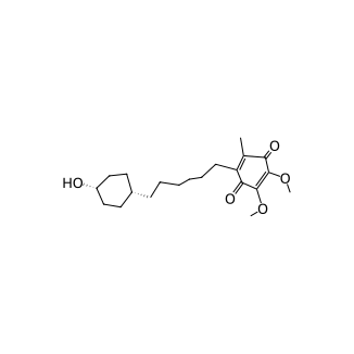 COC1=C(OC)C(=O)C(CCCCCC[C@H]2CC[C@@H](O)CC2)=C(C)C1=O